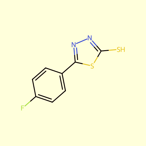 Fc1ccc(-c2nnc(S)s2)cc1